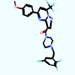 COc1ccc(-c2cc(C(F)(F)F)n3ncc(C(=O)N4CCN(Cc5cc(F)cc(F)c5F)CC4)c3n2)cc1